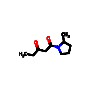 CCC(=O)CC(=O)N1CCCC1C